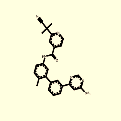 Cc1ccc(NC(=O)c2ccnc(C(C)(C)C#N)c2)cc1-c1cccc(-c2cc(N)ncn2)c1